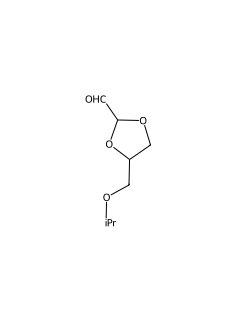 CC(C)OCC1COC(C=O)O1